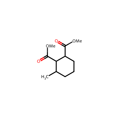 COC(=O)C1CCCC(C)C1C(=O)OC